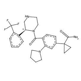 NC(=O)C1(c2ccc(C(=O)N3CCNC[C@@H]3c3ccccc3C(F)(F)F)c(N3CCCC3)c2)CC1